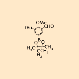 COc1c(C=O)cc(B2OC(C)(C)C(C)(C)O2)cc1C(C)(C)C